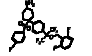 NC1CCC(c2ccc(C(OCc3c(F)cccc3F)(C(F)(F)F)C(F)(F)F)cc2)(S(=O)(=O)c2ccc(F)cc2)CC1